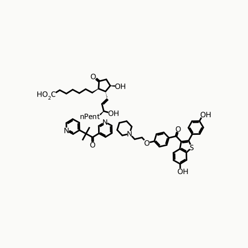 CC(C)(C(=O)c1cccnc1)c1cccnc1.CCCCC[C@H](O)/C=C/[C@H]1[C@H](O)CC(=O)[C@@H]1CCCCCCC(=O)O.O=C(c1ccc(OCCN2CCCCC2)cc1)c1c(-c2ccc(O)cc2)sc2cc(O)ccc12